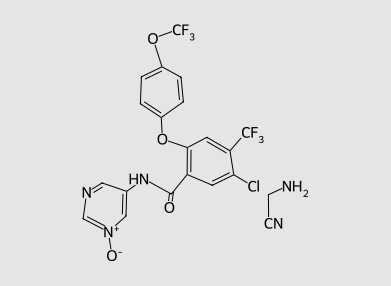 N#CCN.O=C(Nc1cnc[n+]([O-])c1)c1cc(Cl)c(C(F)(F)F)cc1Oc1ccc(OC(F)(F)F)cc1